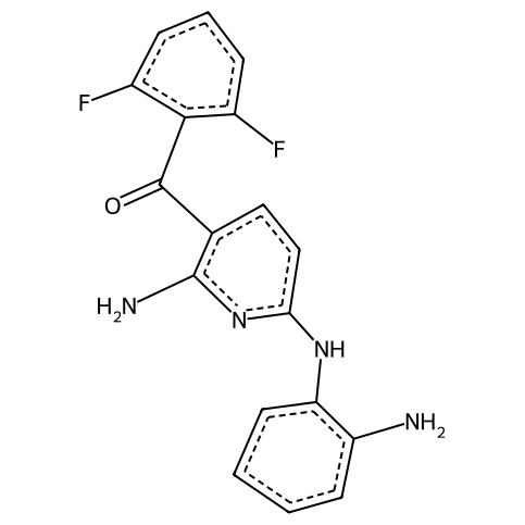 Nc1ccccc1Nc1ccc(C(=O)c2c(F)cccc2F)c(N)n1